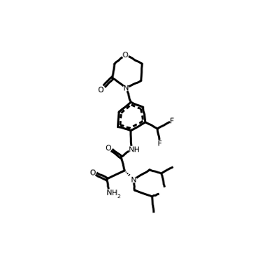 CC(C)CN(CC(C)C)[C@H](C(N)=O)C(=O)Nc1ccc(N2CCOCC2=O)cc1C(F)F